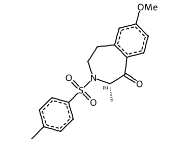 COc1ccc2c(c1)CCN(S(=O)(=O)c1ccc(C)cc1)[C@@H](C)C2=O